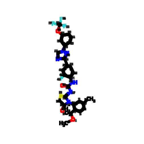 COC(C)c1ccc(C)cc1N1C(=O)CS/C1=N\C(=O)Nc1ccc(-c2ncn(-c3cccc(OC(F)(F)F)c3)n2)cc1F